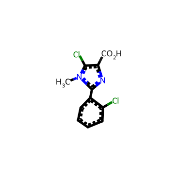 Cn1c(-c2ccccc2Cl)nc(C(=O)O)c1Cl